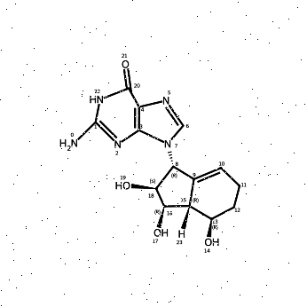 Nc1nc2c(ncn2[C@@H]2C3=CCC[C@@H](O)[C@@H]3[C@@H](O)[C@H]2O)c(=O)[nH]1